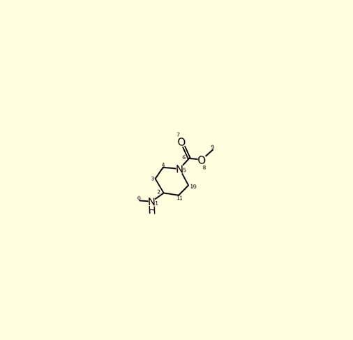 CNC1CCN(C(=O)OC)CC1